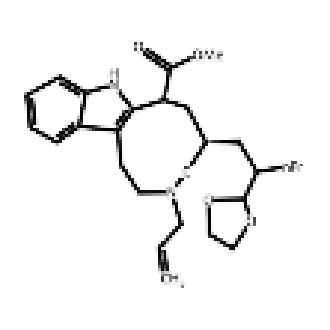 C=CCN1CCc2c([nH]c3ccccc23)C(C(=O)OC)C[C@@H](CC(CCC)C2OCCO2)C1